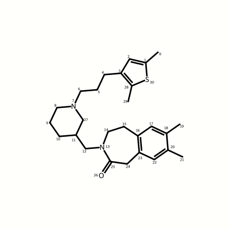 Cc1cc(CCCN2CCCC(CN3CCc4cc(C)c(C)cc4CC3=O)C2)c(C)s1